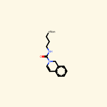 CCCCCCCCCCCCNC(=O)N1C=Cc2ccccc2C1